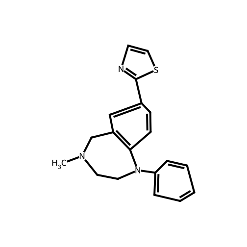 CN1CCN(c2ccccc2)c2ccc(-c3nccs3)cc2C1